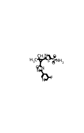 CC1(C)C(c2nc(-c3cncc(F)c3)no2)C1c1ncc(S(N)(=O)=O)s1